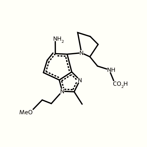 COCCn1c(C)nc2c(N3CCCC3CNC(=O)O)c(N)ccc21